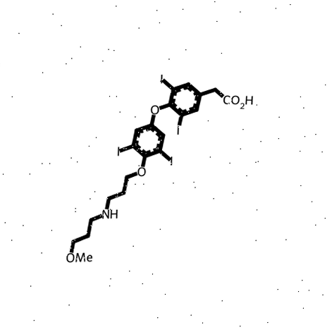 COCCCNCCCOc1c(I)cc(Oc2c(I)cc(CC(=O)O)cc2I)cc1I